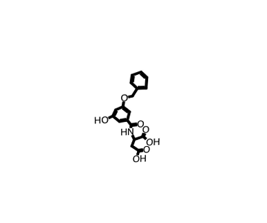 O=C(O)CC(NC(=O)c1cc(O)cc(OCc2ccccc2)c1)C(=O)O